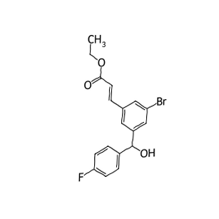 CCOC(=O)/C=C/c1cc(Br)cc(C(O)c2ccc(F)cc2)c1